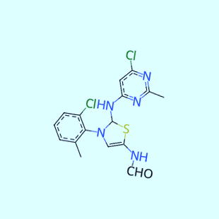 Cc1nc(Cl)cc(NC2SC(NC=O)=CN2c2c(C)cccc2Cl)n1